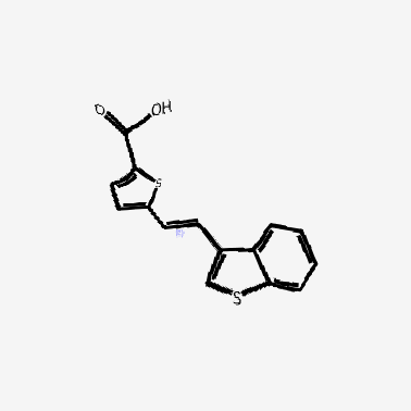 O=C(O)c1ccc(/C=C/c2csc3ccccc23)s1